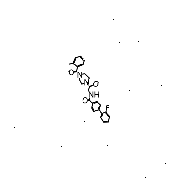 Cc1ccccc1C(=O)N1CCN(C(=O)CNC(=O)c2ccc(-c3ccccc3F)cc2)CC1